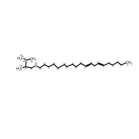 CCCCCC=CCC=CCCCCCCCCCCOCC(C)N(C)C